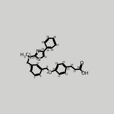 CN(Cc1cccc(COc2ccc(CCC(=O)O)cc2)c1)c1nc(-c2ccccc2)cs1